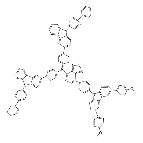 COc1ccc(-c2ccc3c(c2)c2cc(-c4ccc(OC)cc4)ccc2n3-c2ccc(-c3ccc(N(c4ccc(-c5ccc6c(c5)c5ccccc5n6-c5ccc(-c6ccccc6)cc5)cc4)c4ccc(-c5ccc6c(c5)c5ccccc5n6-c5ccc(-c6ccccc6)cc5)cc4)c4nsnc34)cc2)cc1